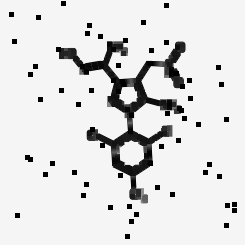 NC(=NO)c1nn(-c2c(Cl)cc(C(F)(F)F)cc2Cl)c(N)c1C[SH](=O)=O